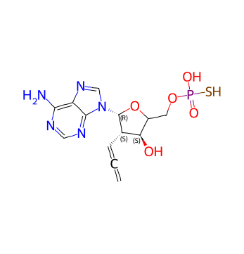 C=C=C[C@H]1[C@H](O)C(COP(=O)(O)S)O[C@H]1n1cnc2c(N)ncnc21